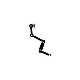 [CH]N=NOO